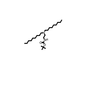 CCCCCCCCCN(CCCCCCCCC)CCNC(=O)OC(C)(C)C